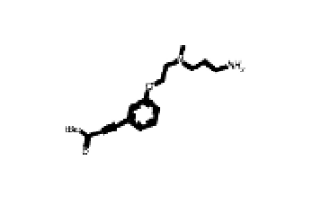 CN(CCCN)CCOc1cccc(C#CC(=O)C(C)(C)C)c1